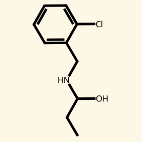 CCC(O)NCc1ccccc1Cl